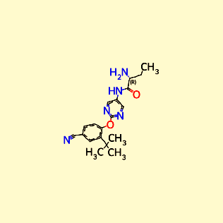 CC[C@@H](N)C(=O)Nc1cnc(Oc2ccc(C#N)cc2C(C)(C)C)nc1